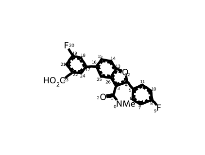 CNC(=O)c1c(-c2ccc(F)cc2)oc2ccc(-c3cc(F)cc(C(=O)O)c3)cc12